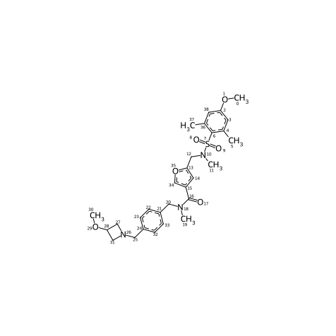 COc1cc(C)c(S(=O)(=O)N(C)Cc2cc(C(=O)N(C)Cc3ccc(CN4CC(OC)C4)cc3)co2)c(C)c1